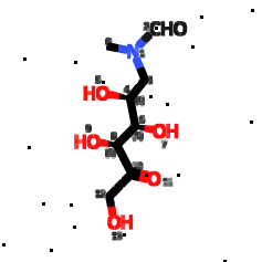 CN(C=O)C[C@H](O)[C@@H](O)[C@H](O)C(=O)CO